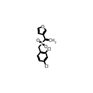 C=C(c1ccoc1)S(=O)(=O)Cc1ccc(Cl)cc1Cl